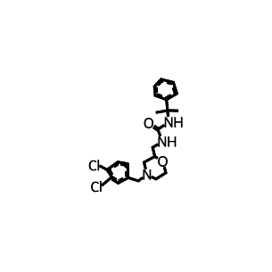 CC(C)(NC(=O)NCC1CN(Cc2ccc(Cl)c(Cl)c2)CCO1)c1ccccc1